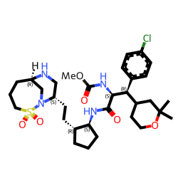 COC(=O)N[C@H](C(=O)N[C@H]1CCC[C@@H]1CC[C@H]1CN[C@@H]2CCCS(=O)(=O)N1C2)[C@@H](c1ccc(Cl)cc1)C1CCOC(C)(C)C1